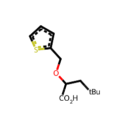 CC(C)(C)CC(OCc1cccs1)C(=O)O